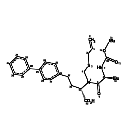 C=CCSCN(C(=O)[C@@H](NC(=O)OC(C)(C)C)C(C)(C)C)[C@@H](CCc1ccc(-c2ccccc2)cc1)C(=O)O